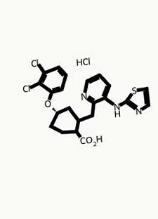 Cl.O=C(O)C1CC[C@H](Oc2cccc(Cl)c2Cl)CC1Cc1ncccc1Nc1nccs1